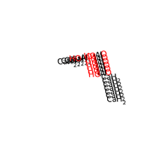 [CaH2].[CaH2].[CaH2].[CaH2].[CaH2].[CaH2].[CaH2].[CaH2].[CaH2].[CaH2].[CaH2].[CaH2].[O]=[Al][OH].[O]=[Al][OH].[O]=[Al][OH].[O]=[Al][OH].[O]=[Al][OH].[O]=[Al][OH].[O]=[Al][OH]